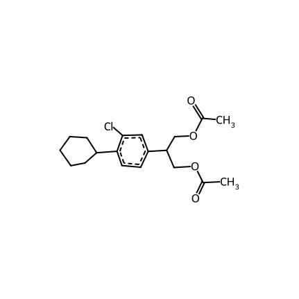 CC(=O)OCC(COC(C)=O)c1ccc(C2CCCCC2)c(Cl)c1